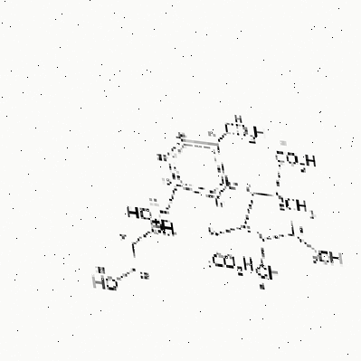 CC(O)CO.O=C(O)CCCCC(=O)O.O=C(O)c1ccc(C(=O)O)cc1.OCCO